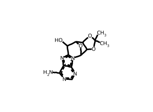 CC1(C)OC2C3OC(C2O1)n1c(nc2c(N)ncnc21)C3O